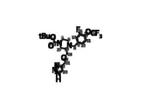 CC(C)(C)OC(=O)N1CCN(Cc2ccc(OC(F)(F)F)c(F)c2)[C@@H](COCc2c[nH]nn2)C1